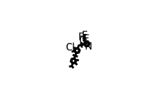 Cc1c(C(C)C)ccc(C(C)(C)c2ccc(CC(C)(C)c3cnccc3OC(F)(F)F)c(Cl)c2C)c1C